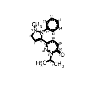 CC(C)n1nc(C2=CCN(C)N2c2ccccc2)ccc1=O